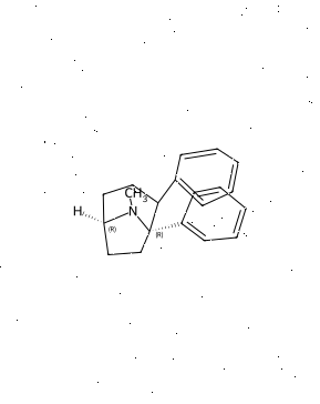 CN1[C@@H]2CCC(c3ccccc3)[C@@]1(c1ccccc1)CC2